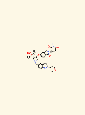 CC(C)(O)C1CN(Cc2ccc3nc(C4CCOCC4)ccc3c2)CC1Oc1ccc2c(c1)CN([C@H]1CCC(=O)NC1=O)C2=O